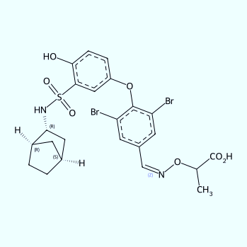 CC(O/N=C\c1cc(Br)c(Oc2ccc(O)c(S(=O)(=O)N[C@@H]3C[C@H]4CC[C@@H]3C4)c2)c(Br)c1)C(=O)O